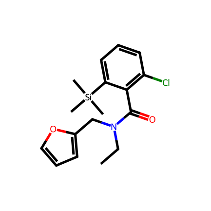 CCN(Cc1ccco1)C(=O)c1c(Cl)cccc1[Si](C)(C)C